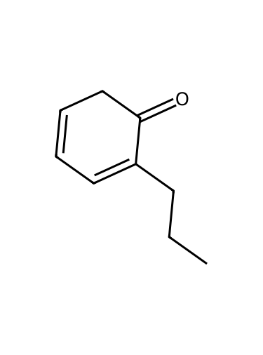 CCCC1=CC=CCC1=O